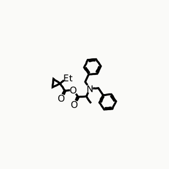 CCC1(C(=O)OC(=O)C(C)N(Cc2ccccc2)Cc2ccccc2)CC1